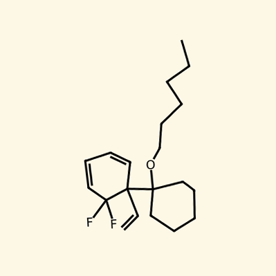 C=CC1(C2(OCCCCCC)CCCCC2)C=CC=CC1(F)F